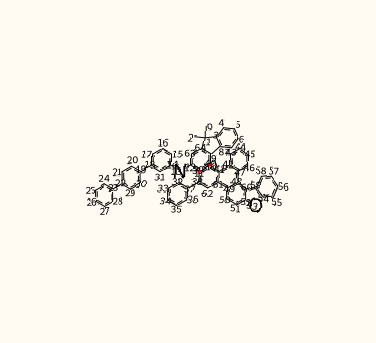 CC1(C)c2ccccc2-c2ccc(N(c3cccc(-c4ccc(-c5ccccc5)cc4)c3)c3ccccc3-c3ccc4c5ccccc5c5c(ccc6oc7ccccc7c65)c4c3)cc21